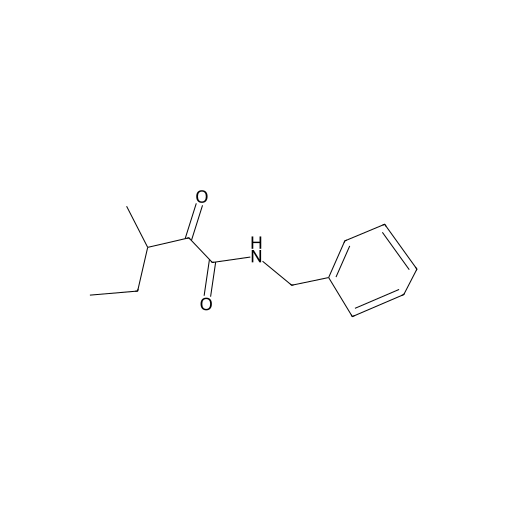 CCC(C)C(=O)C(=O)NCc1ccccc1